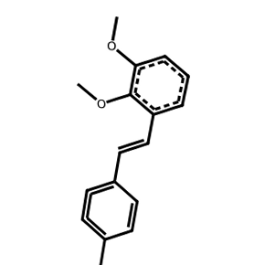 COc1cccc(/C=C/C2=C=C=C(C)C=C2)c1OC